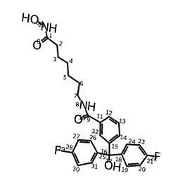 O=C(CCCCCCNC(=O)c1cccc(C(O)(c2ccc(F)cc2)c2ccc(F)cc2)c1)NO